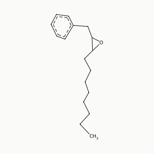 CCCCCCCCC1OC1Cc1ccccc1